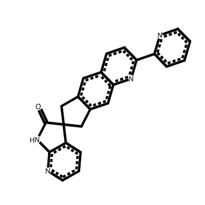 O=C1Nc2ncccc2C12Cc1cc3ccc(-c4ccccn4)nc3cc1C2